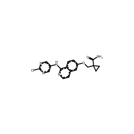 NC(=O)C1(COc2ccc3c(Nc4cnc(Cl)nc4)nccc3c2)CC1